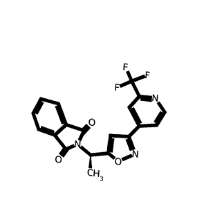 C[C@H](c1cc(-c2ccnc(C(F)(F)F)c2)no1)N1C(=O)c2ccccc2C1=O